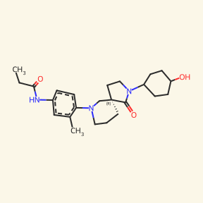 CCC(=O)Nc1ccc(N2CCC[C@@]3(CCN(C4CCC(O)CC4)C3=O)C2)c(C)c1